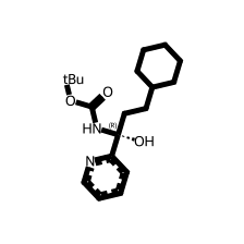 CC(C)(C)OC(=O)N[C@@](O)(CCC1CCCCC1)c1ccccn1